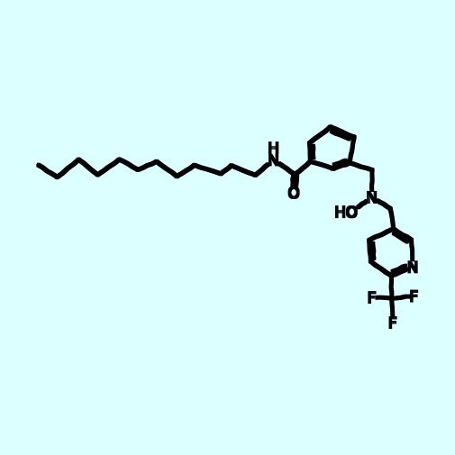 CCCCCCCCCCCCNC(=O)c1cccc(CN(O)Cc2ccc(C(F)(F)F)nc2)c1